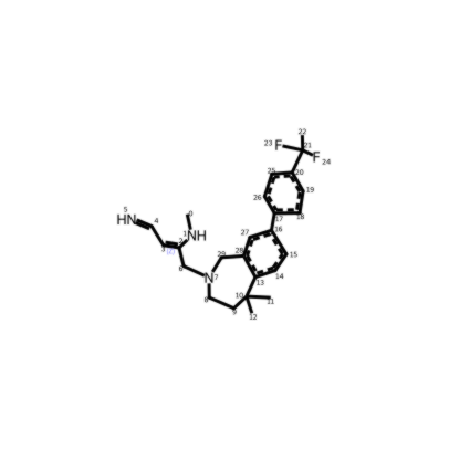 CN/C(=C\C=N)CN1CCC(C)(C)c2ccc(-c3ccc(C(C)(F)F)cc3)cc2C1